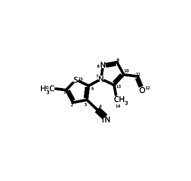 Cc1cc(C#N)c(-n2ncc(C=O)c2C)s1